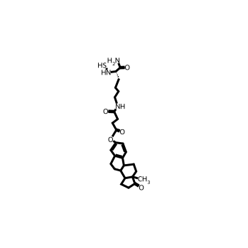 CC12CCC3c4ccc(OC(=O)CCC(=O)NCCCC[C@H](NS)C(N)=O)cc4CCC3C1CCC2=O